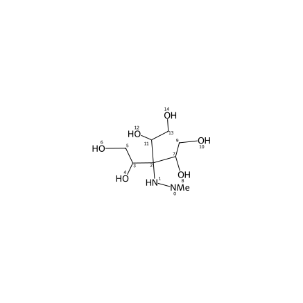 CNNC(C(O)CO)(C(O)CO)C(O)CO